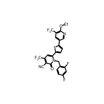 CCOc1ncc(-c2ccc(-c3cc(C(F)(F)F)c(C#N)c(=O)n3Cc3ccc(F)cc3F)s2)cc1C(F)(F)F